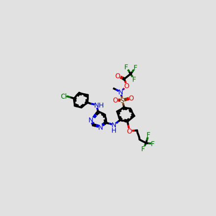 CN(OC(=O)C(F)(F)F)S(=O)(=O)c1ccc(OCCC(F)(F)F)c(Nc2cc(Nc3ccc(Cl)cc3)ncn2)c1